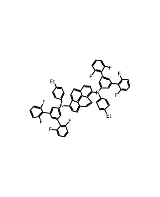 CCc1ccc(N(c2cc(-c3c(F)cccc3F)cc(-c3c(F)cccc3F)c2)c2ccc3ccc4c(N(c5ccc(CC)cc5)c5cc(-c6c(F)cccc6F)cc(-c6c(F)cccc6F)c5)ccc5ccc2c3c54)cc1